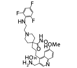 COc1ccc2ncc(CN)c([C@H](O)CCC3(C(=O)NO)CCN(CCNc4c(F)cc(F)cc4F)CC3)c2c1